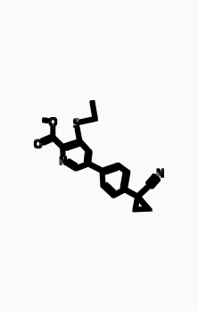 CCSc1cc(-c2ccc(C3(C#N)CC3)cc2)cnc1C(=O)OC